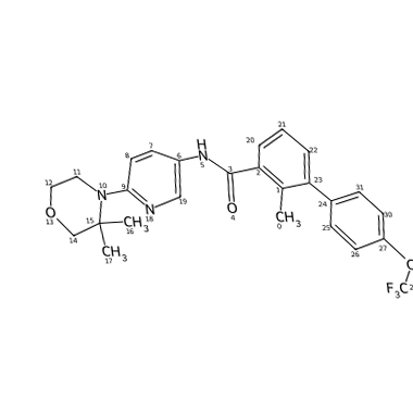 Cc1c(C(=O)Nc2ccc(N3CCOCC3(C)C)nc2)cccc1-c1ccc(OC(F)(F)F)cc1